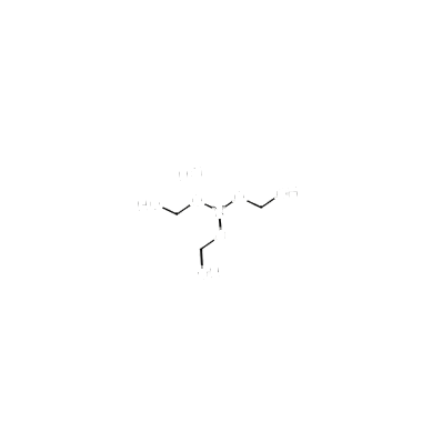 Cl.OCON(OCO)OCO